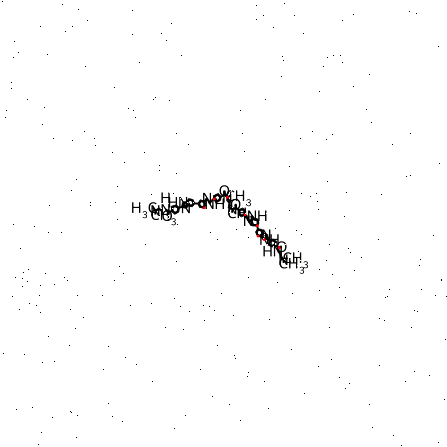 CN(C)CCNC(=O)c1ccc(-c2nc3cc(-c4ccc5[nH]c(-c6ccc(C(=O)N(C)CCCN(C)C(=O)c7ccc(-c8nc9cc(-c%10ccc%11[nH]c(-c%12ccc(C(=O)NCCN(C)C)cc%12)nc%11c%10)ccc9[nH]8)cc7)cc6)nc5c4)ccc3[nH]2)cc1